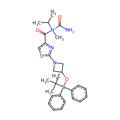 CC(C)[N+](C)(C(N)=O)C(=O)c1csc(N2CC(O[Si](c3ccccc3)(c3ccccc3)C(C)(C)C)C2)n1